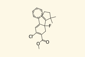 COC(=O)C1=C(Cl)C=C(c2ccccc2)C(F)(C2=CCCC2(C)C)C1